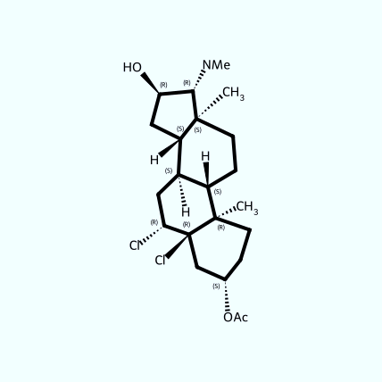 CN[C@H]1[C@H](O)C[C@H]2[C@@H]3C[C@@H](Cl)[C@@]4(Cl)C[C@@H](OC(C)=O)CC[C@]4(C)[C@H]3CC[C@@]21C